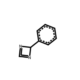 C1=NC(c2ccccc2)N=1